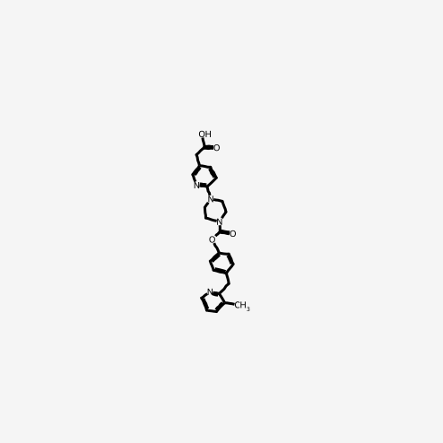 Cc1cccnc1Cc1ccc(OC(=O)N2CCN(c3ccc(CC(=O)O)cn3)CC2)cc1